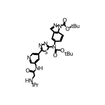 CC(C)NCC(=O)Nc1cncc(-c2nnc(N(C(=O)OC(C)(C)C)c3ccc4c(cnn4C(=O)OC(C)(C)C)c3)s2)c1